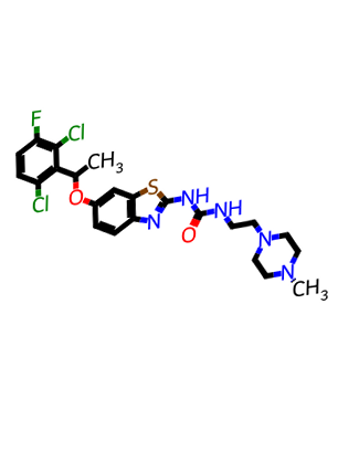 CC(Oc1ccc2nc(NC(=O)NCCN3CCN(C)CC3)sc2c1)c1c(Cl)ccc(F)c1Cl